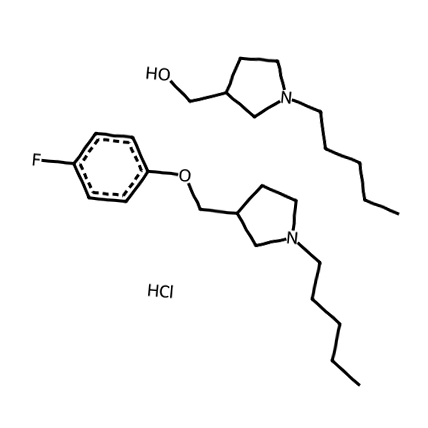 CCCCCN1CCC(CO)C1.CCCCCN1CCC(COc2ccc(F)cc2)C1.Cl